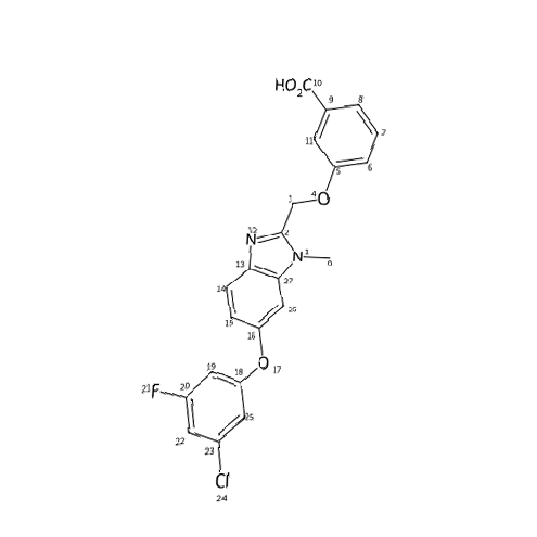 Cn1c(COc2cccc(C(=O)O)c2)nc2ccc(Oc3cc(F)cc(Cl)c3)cc21